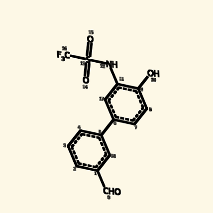 O=Cc1cccc(-c2ccc(O)c(NS(=O)(=O)C(F)(F)F)c2)c1